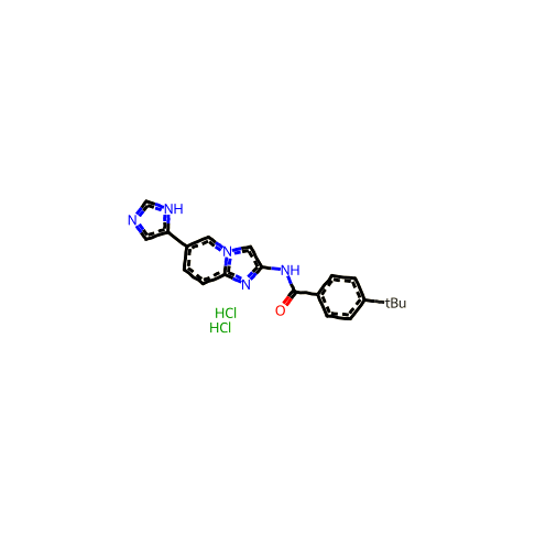 CC(C)(C)c1ccc(C(=O)Nc2cn3cc(-c4cnc[nH]4)ccc3n2)cc1.Cl.Cl